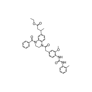 CCOC(=O)CC(C)c1ccc2c(c1)N(C(=O)c1ccccc1)CCN2C(=O)Cc1ccc(NC(=O)Nc2ccccc2C)c(OC)c1